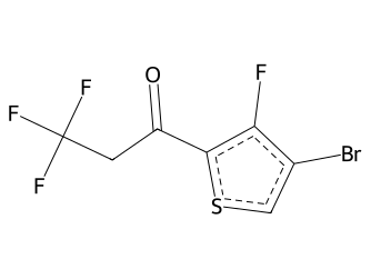 O=C(CC(F)(F)F)c1scc(Br)c1F